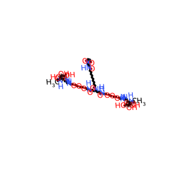 CC(=O)N[C@@H]1[C@@H](O)[C@@H](O)[C@@H](CO)O[C@H]1Cc1cn(CCOCCOCCOCCNC(=O)CCC(CCC(=O)NCCOCCOCCOCCn2cc(C[C@@H]3O[C@H](CO)[C@H](O)[C@H](O)[C@H]3NC(C)=O)nn2)NC(=O)CCCCCCCCCCC(=O)NCCN2C(=O)C=CC2=O)nn1